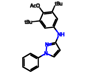 CC(=O)Oc1c(C(C)(C)C)cc(Nc2ccn(-c3ccccc3)n2)cc1C(C)(C)C